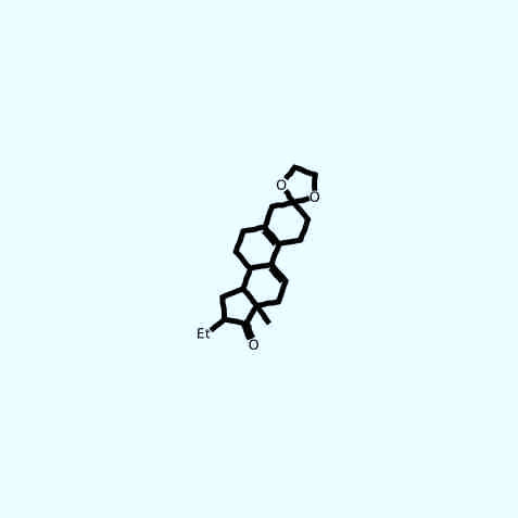 CCC1CC2C3CCC4=C(CCC5(C4)OCCO5)C3=CCC2(C)C1=O